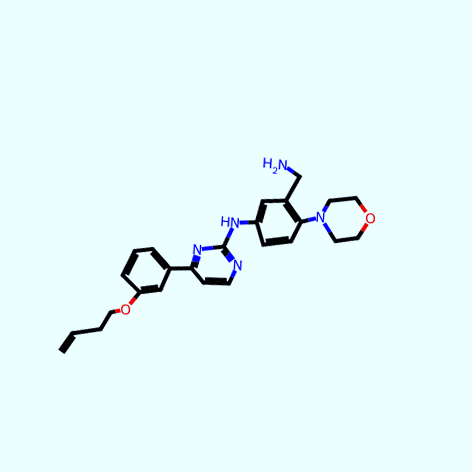 C=CCCOc1cccc(-c2ccnc(Nc3ccc(N4CCOCC4)c(CN)c3)n2)c1